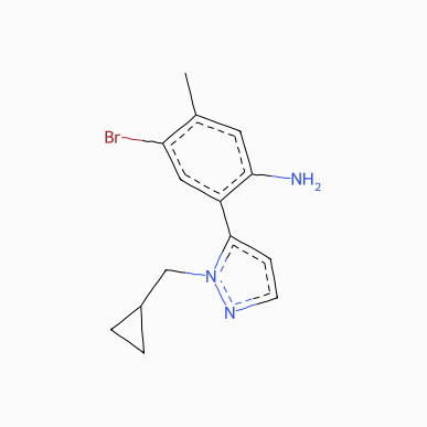 Cc1cc(N)c(-c2ccnn2CC2CC2)cc1Br